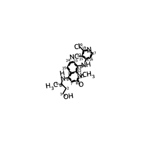 C[C@@H](CCO)Nc1cc(=O)n(C)c2c(Nc3ccnc(Cl)c3C#N)cccc12